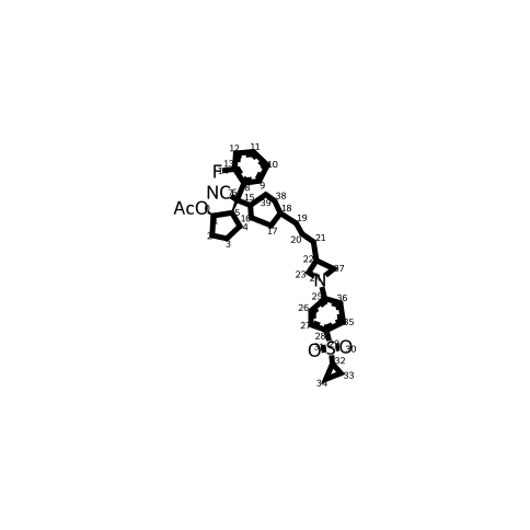 CC(=O)O[C@H]1CCC[C@@H]1C(C#N)(c1ccccc1F)C1CCC(CCCC2CN(c3ccc(S(=O)(=O)C4CC4)cc3)C2)CC1